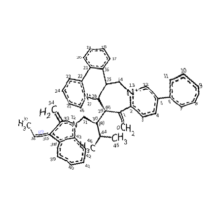 C=C1c2ccc(-c3ccccc3)c[n+]2CC2c3ccccc3-c3cccc[n+]3C2[C@@H]1[C@H](Cn1c(=C)/c(=C\C)c2ccccc21)C(C)C